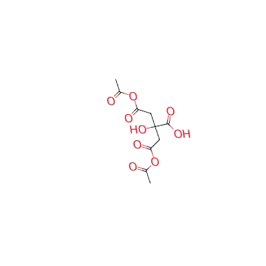 CC(=O)OC(=O)CC(O)(CC(=O)OC(C)=O)C(=O)O